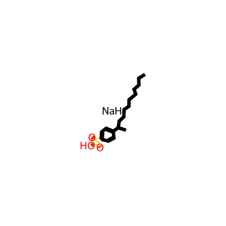 CCCCCCCCCCC(C)c1ccc(S(=O)(=O)O)cc1.[NaH]